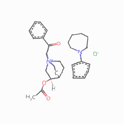 CC(=O)O[C@H]1C[N+]2(CC(=O)c3ccccc3)CCC1CC2.[Cl-].c1ccc(N2CCCCCC2)cc1